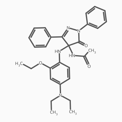 CCOc1cc(N(CC)CC)ccc1NC1(NC(C)=O)C(=O)N(c2ccccc2)N=C1c1ccccc1